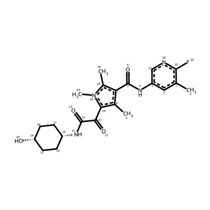 Cc1cc(NC(=O)c2c(C)c(C(=O)C(=O)N[C@H]3CC[C@@H](O)CC3)n(C)c2C)cnc1F